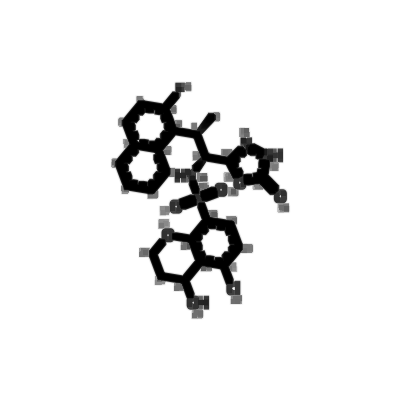 C[C@H](c1c(F)ccc2ccccc12)[C@H](NS(=O)(=O)c1ccc(Cl)c2c1OCCC2O)c1n[nH]c(=O)o1